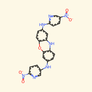 O=[N+]([O-])c1ccc(Nc2ccc3c(c2)Nc2ccc(Nc4ccc([N+](=O)[O-])nc4)cc2O3)nc1